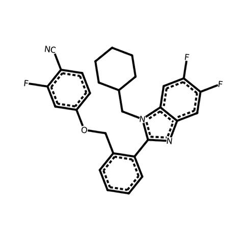 N#Cc1ccc(OCc2ccccc2-c2nc3cc(F)c(F)cc3n2CC2CCCCC2)cc1F